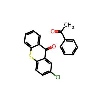 CC(=O)c1ccccc1.O=c1c2ccccc2sc2ccc(Cl)cc12